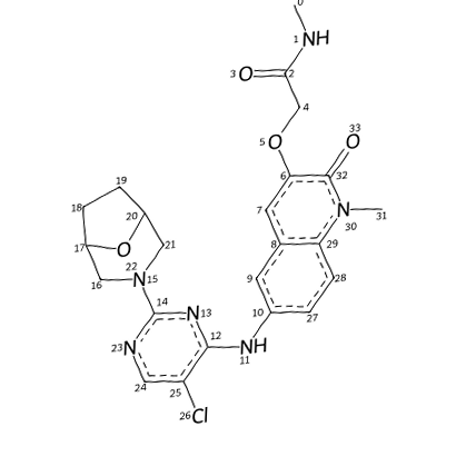 CNC(=O)COc1cc2cc(Nc3nc(N4CC5CCC(C4)O5)ncc3Cl)ccc2n(C)c1=O